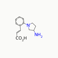 NC1CCN(c2ccccc2C=CC(=O)O)C1